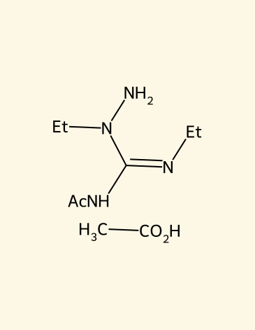 CC(=O)O.CCN=C(NC(C)=O)N(N)CC